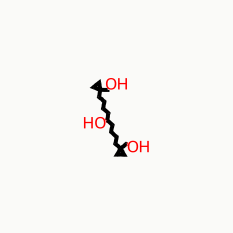 OCC1(CCCCC(O)CCCCC2(CO)CC2)CC1